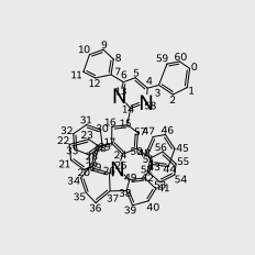 c1ccc(-c2cc(-c3ccccc3)nc(-c3cc(-c4ccccc4)c(-n4c5c(-c6ccccc6)cccc5c5cccc(-c6ccccc6)c54)c(-c4ccccc4)c3)n2)cc1